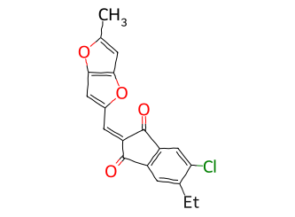 CCc1cc2c(cc1Cl)C(=O)/C(=C\c1cc3oc(C)cc3o1)C2=O